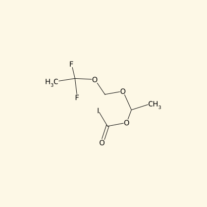 CC(OCOC(C)(F)F)OC(=O)I